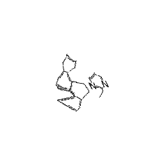 C1=CCc2c(ccc3c2CCc2ccccc2-3)C1.Cc1ncccn1